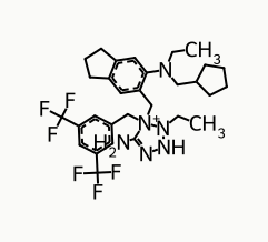 CCN(CC1CCCC1)c1cc2c(cc1C[N+]1(Cc3cc(C(F)(F)F)cc(C(F)(F)F)c3)C(N)=NNN1CC)CCC2